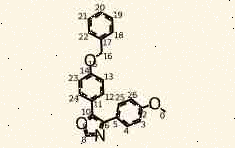 COc1ccc(-c2ncoc2-c2ccc(OCc3ccccc3)cc2)cc1